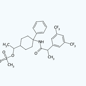 CC(C(=O)NC1(c2ccccc2)CCC(C(C)OS(C)(=O)=O)CC1)c1cc(C(F)(F)F)cc(C(F)(F)F)c1